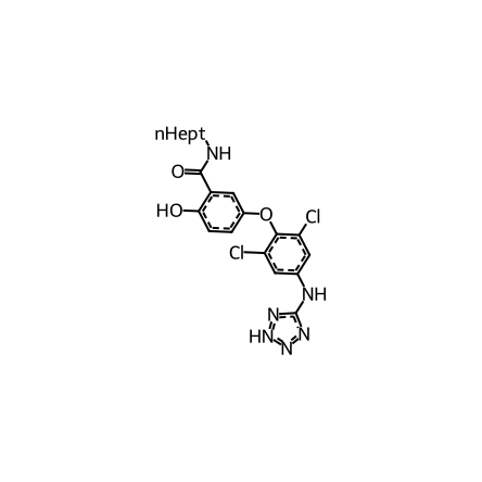 CCCCCCCNC(=O)c1cc(Oc2c(Cl)cc(Nc3nn[nH]n3)cc2Cl)ccc1O